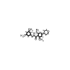 CCSc1nc(N2CCOCC2)cc(C)c1C(=O)NCc1cc(C)cc(C)c1